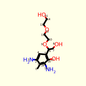 Cc1c(N)cc(C(CO)OCCOCCO)c(O)c1N